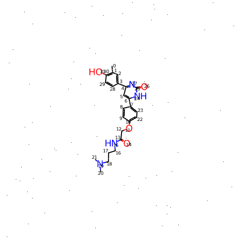 Cc1cc(-c2cc(-c3ccc(OCC(=O)NCCCN(C)C)cc3)[nH]c(=O)n2)ccc1O